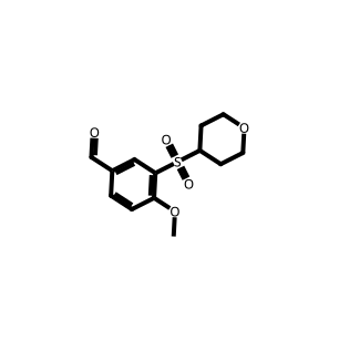 COc1ccc(C=O)cc1S(=O)(=O)C1CCOCC1